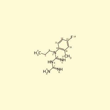 CCCN(C(=N)NC(=N)N)c1ccc(F)cc1C